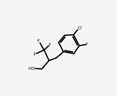 OCC(Cc1ccc(Cl)c(F)c1)C(F)(F)F